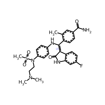 Cc1cc(C(N)=O)ccc1/C(Nc1ccc(N(CCN(C)C)S(C)(=O)=O)cc1)=C1/C(=O)Nc2cc(F)ccc21